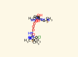 Cc1ncsc1-c1ccc(CNC(=O)[C@@H]2C[C@@H](O)CN2C(=O)C(NC(=O)COCCOCCOCCNC(=O)C[C@@H]2N=C(c3ccc(Cl)cc3)c3c(sc(C)c3C)-n3c(C)nnc32)C(C)(C)C)cc1